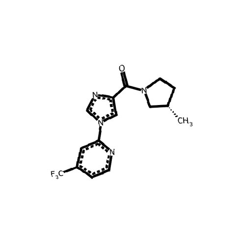 C[C@H]1CCN(C(=O)c2cn(-c3cc(C(F)(F)F)ccn3)cn2)C1